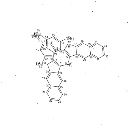 CC(C)(C)c1cc(C2=[C]([Hf][C]3=C(c4cc(C(C)(C)C)cc(C(C)(C)C)c4)Cc4cc5ccccc5cc43)c3cc4ccccc4cc3C2)cc(C(C)(C)C)c1